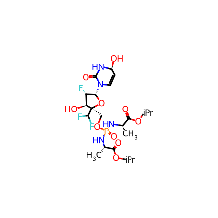 CC(C)OC(=O)[C@H](C)NP(=O)(N[C@@H](C)C(=O)OC(C)C)OC[C@@]1(C(F)F)O[C@@H](N2C=C[C@H](O)NC2=O)[C@@H](F)[C@@H]1O